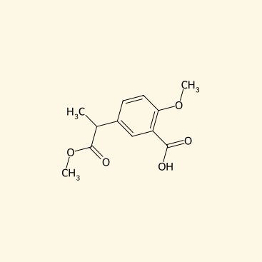 COC(=O)C(C)c1ccc(OC)c(C(=O)O)c1